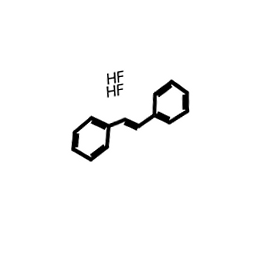 C(=Cc1ccccc1)c1ccccc1.F.F